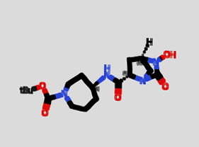 CC(C)(C)OC(=O)N1CCC[C@H](NC(=O)[C@@H]2C[C@@H]3CN2C(=O)N3O)CC1